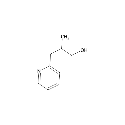 CC(CO)Cc1ccccn1